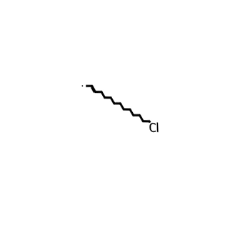 [CH2]C=CCCCCCCCCCCCCl